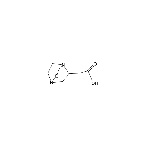 CC(C)(C(=O)O)C1CN2CCN1CC2